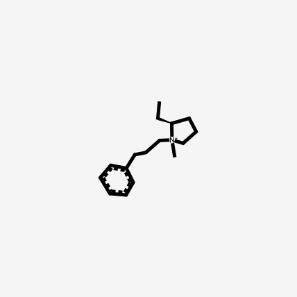 CC[C@H]1CCC[N+]1(C)CCCc1ccccc1